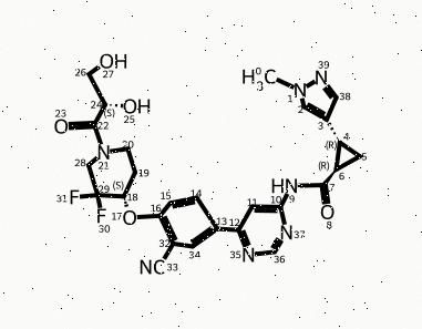 Cn1cc([C@@H]2C[C@H]2C(=O)Nc2cc(-c3ccc(O[C@H]4CCN(C(=O)[C@@H](O)CO)CC4(F)F)c(C#N)c3)ncn2)cn1